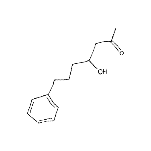 CC(=O)CC(O)CCCc1ccccc1